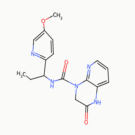 CCC(NC(=O)N1CC(=O)Nc2cccnc21)c1ccc(OC)cn1